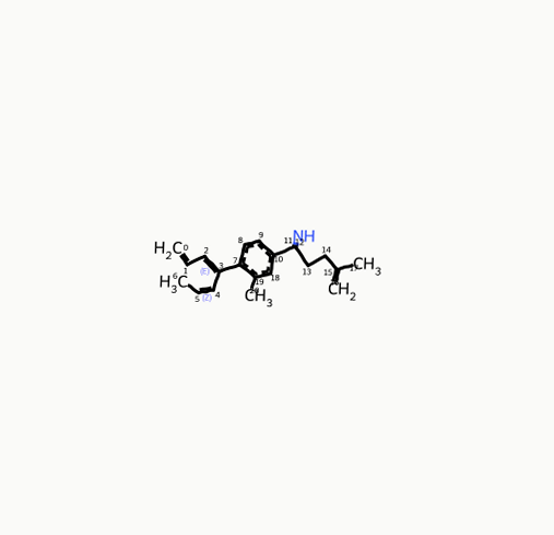 C=C/C=C(\C=C/C)c1ccc(C(=N)CCC(=C)C)cc1C